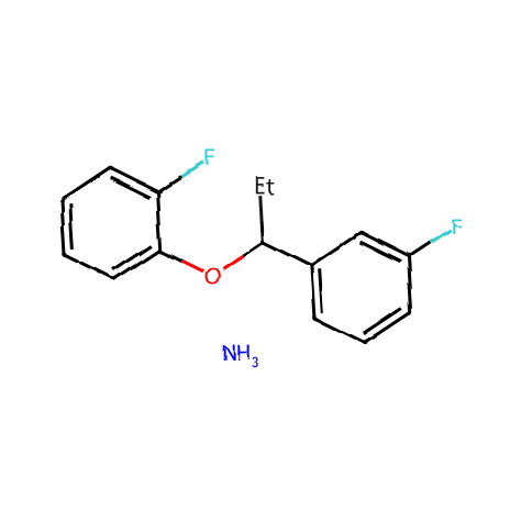 CCC(Oc1ccccc1F)c1cccc(F)c1.N